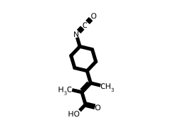 C/C(C(=O)O)=C(/C)C1CCC(N=C=O)CC1